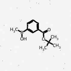 CB(O)c1cccc(C(=O)OC(C)(C)C)c1